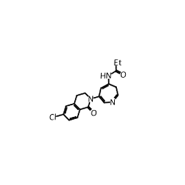 CCC(=O)NC1=CC(N2CCc3cc(Cl)ccc3C2=O)=CN=CC1